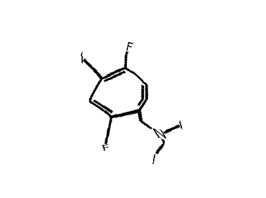 Fc1cc(N(I)I)c(F)cc1I